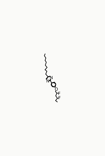 CCCCCCCCCCc1cnc(-c2ccc(OCC(F)CC(F)CC)cc2)nc1